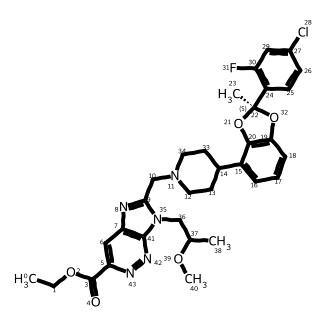 CCOC(=O)c1cc2nc(CN3CCC(c4cccc5c4O[C@@](C)(c4ccc(Cl)cc4F)O5)CC3)n(CC(C)OC)c2nn1